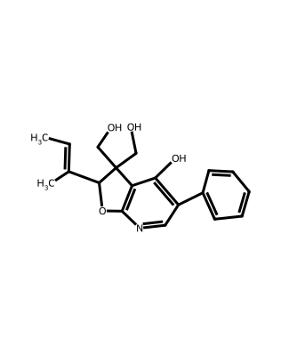 CC=C(C)C1Oc2ncc(-c3ccccc3)c(O)c2C1(CO)CO